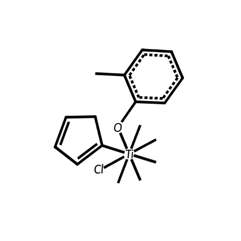 Cc1ccccc1[O][Ti]([CH3])([CH3])([CH3])([CH3])([CH3])([Cl])[C]1=CC=CC1